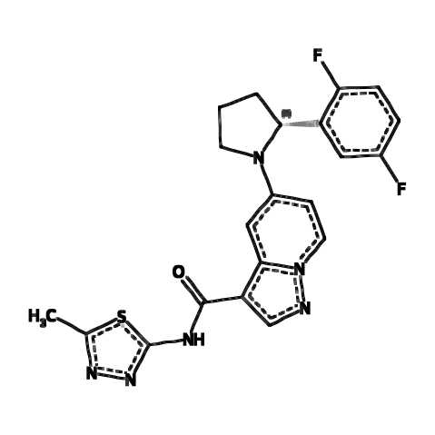 Cc1nnc(NC(=O)c2cnn3ccc(N4CCC[C@@H]4c4cc(F)ccc4F)cc23)s1